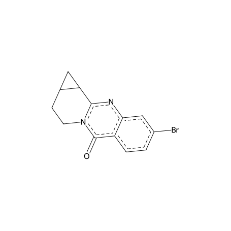 O=c1c2ccc(Br)cc2nc2n1CCC1CC21